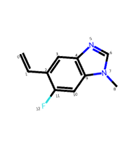 C=Cc1cc2ncn(C)c2cc1F